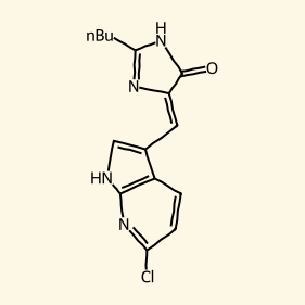 CCCCC1=N/C(=C\c2c[nH]c3nc(Cl)ccc23)C(=O)N1